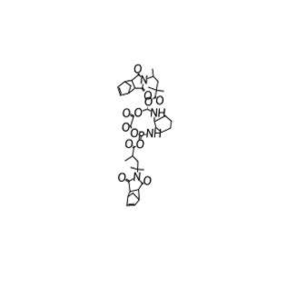 CC(CC(C)(C)N1C(=O)C2C3C=CC(C3)C2C1=O)C(=O)OP1NC2CCCCC2N[C@@H](OC(=O)C(C)(C)CC(C)N2C(=O)C3C4C=CC(C4)C3C2=O)OC(=O)C(=O)O1